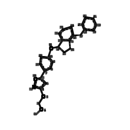 COCOc1cc(-c2ccc(OC3CCc4c(Cc5ccccc5)cccc43)cc2)on1